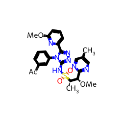 COc1cccc(-c2nnc(NS(=O)(=O)[C@@H](C)[C@H](OC)c3ncc(C)cn3)n2-c2cccc(C(C)=O)c2)n1